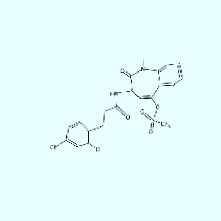 CN1C(=O)C(NC(=O)CCc2ccc(Cl)cc2Cl)C=C(OS(=O)(=O)C(F)(F)F)c2ccccc21